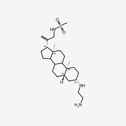 C=C(CNS(C)(=O)=O)[C@H]1CCC2C3CC[C@H]4C[C@@H](NCCN)CC[C@]4(C)C3CC[C@@]21C